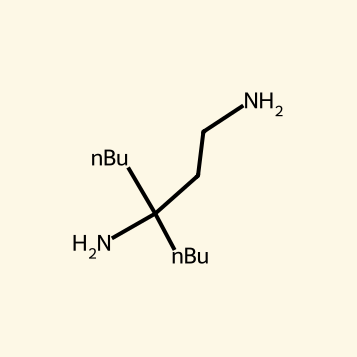 CCCCC(N)(CCN)CCCC